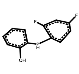 Oc1ccccc1Pc1ccc(F)cc1F